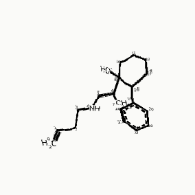 C=CCCNCC(C)C1(O)CCCCC1c1ccccc1